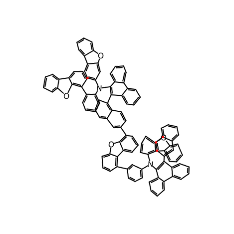 c1cc(-c2cccc3oc4c(-c5ccc6c(-c7c(N(c8ccc9c(c8)oc8ccccc89)c8ccccc8-c8cccc9c8oc8ccccc89)c8ccccc8c8ccccc78)cccc6c5)cccc4c23)cc(N(c2c(-c3ccc4ccccc4c3)c3ccccc3c3ccccc23)c2cccc3oc4ccccc4c23)c1